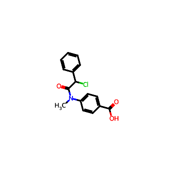 CN(C(=O)C(Cl)c1ccccc1)c1ccc(C(=O)O)cc1